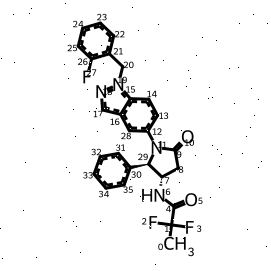 CC(F)(F)C(=O)N[C@H]1CC(=O)N(c2ccc3c(cnn3Cc3ccccc3F)c2)[C@@H]1c1ccccc1